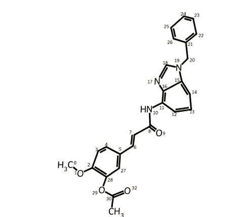 COc1ccc(C=CC(=O)Nc2cccc3c2ncn3Cc2ccccc2)cc1OC(C)=O